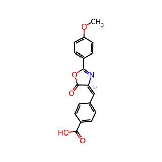 COc1ccc(C2=N/C(=C/c3ccc(C(=O)O)cc3)C(=O)O2)cc1